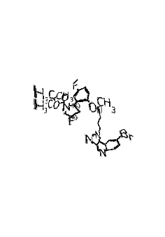 C[C@H](CCCn1cnc2cnc3ccc(Br)cc3c21)Oc1ccc(F)cc1[C@H]1C[C@H](F)CN1C(=O)OC(C)(C)C